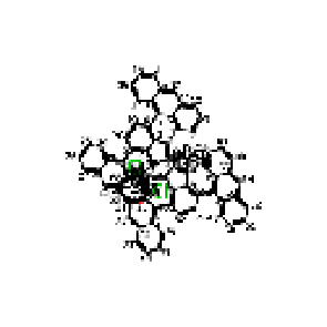 CCCCC1=Cc2c(-c3c4ccccc4cc4ccccc34)ccc(-c3c4ccccc4cc4ccccc34)c2[CH]1[Zr]([Cl])([Cl])([CH]1C(CCCC)=Cc2c(-c3c4ccccc4cc4ccccc34)ccc(-c3c4ccccc4cc4ccccc34)c21)[SiH](C)C